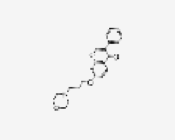 O=c1c(-c2ccccc2)coc2cc(OCCCN3CCOCC3)ccc12